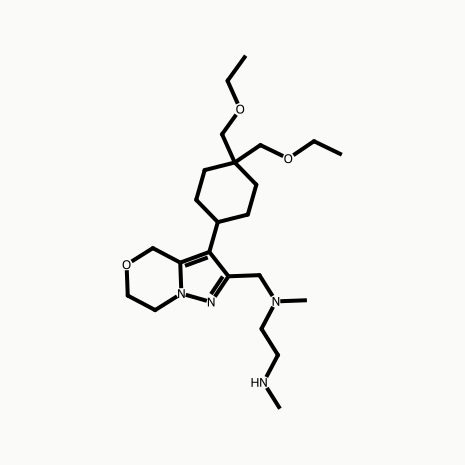 CCOCC1(COCC)CCC(c2c(CN(C)CCNC)nn3c2COCC3)CC1